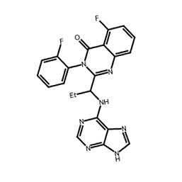 CCC(Nc1ncnc2[nH]cnc12)c1nc2cccc(F)c2c(=O)n1-c1ccccc1F